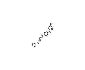 Brc1cnc(Sc2ccc(/N=C/O/N=C/Oc3ccccc3)cc2)nc1